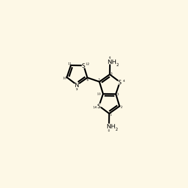 Nc1cc2sc(N)c(-c3nccs3)c2s1